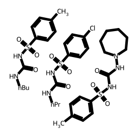 CCCCNC(=O)NS(=O)(=O)c1ccc(C)cc1.CCCNC(=O)NS(=O)(=O)c1ccc(Cl)cc1.Cc1ccc(S(=O)(=O)NC(=O)NN2CCCCCC2)cc1